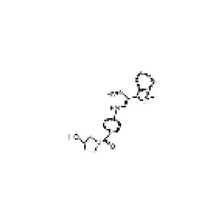 N=N/C(=C\Nc1ccc(C(=O)N2CCC(O)C2)cc1)c1n[nH]c2ccccc12